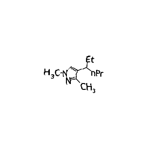 CCCC(CC)c1cn(C)nc1C